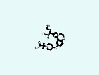 CC(C)N/C(=N\C=N)c1cn2c(n1)-c1cc(SC3CCN(C(C)(C)C(N)=O)CC3)ccc1OCC2